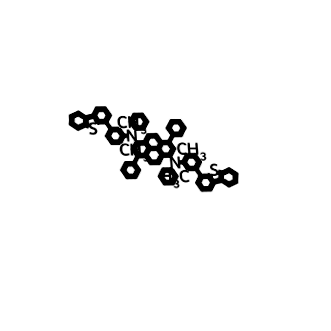 Cc1ccc(-c2cccc3c2sc2ccccc23)c(C)c1N(c1ccccc1)c1cc(-c2ccccc2)c2ccc3c(N(c4ccccc4)c4c(C)ccc(-c5cccc6c5sc5ccccc56)c4C)cc(-c4ccccc4)c4ccc1c2c43